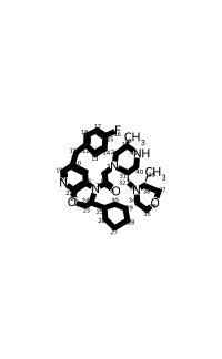 C[C@@H]1CN(CC(=O)N2c3cc(Cc4ccc(F)cc4)cnc3OCC2C2CCCCC2)[C@@H](CN2CCOC[C@H]2C)CN1